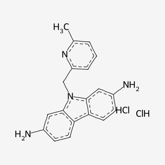 Cc1cccc(Cn2c3cc(N)ccc3c3ccc(N)cc32)n1.Cl.Cl